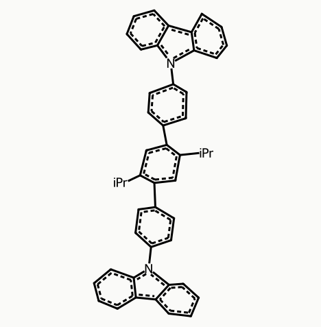 CC(C)c1cc(-c2ccc(-n3c4ccccc4c4ccccc43)cc2)c(C(C)C)cc1-c1ccc(-n2c3ccccc3c3ccccc32)cc1